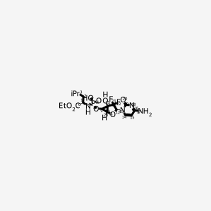 CCOC(=O)[C@H](CC(C)C)NP(=O)(O)OC1[C@H]2O[C@@H](n3ccc(N)nc3=O)C(F)(F)[C@@]12O